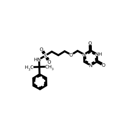 CC(C)(NS(=O)(=O)CCCOCn1cnc(=O)[nH]c1=O)c1ccccc1